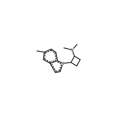 Cc1ccc2c(ccn2C2CCC2N(C)C)c1